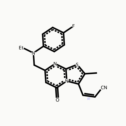 CCN(Cc1cc(=O)n2c(/C=C\C#N)c(C)sc2n1)c1ccc(F)cc1